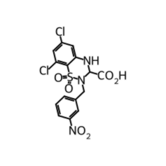 O=C(O)C1Nc2cc(Cl)cc(Cl)c2S(=O)(=O)N1Cc1cccc([N+](=O)[O-])c1